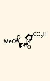 COC(=O)[C@@H]1CN1C(=O)N1CC[C@H](C(=O)O)C1